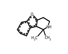 CC1(C)NCCc2oc3ccccc3c21